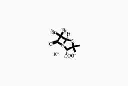 CC1(C)S[C@H]2N(C(=O)C2(Br)Br)[C@H]1C(=O)[O-].[K+]